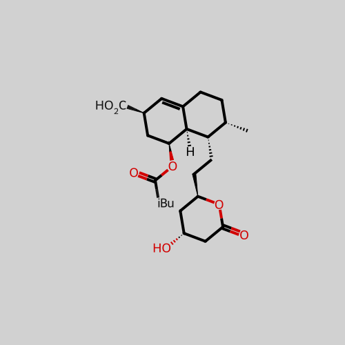 CCC(C)C(=O)O[C@H]1C[C@@H](C(=O)O)C=C2CC[C@H](C)[C@H](CC[C@@H]3C[C@@H](O)CC(=O)O3)[C@H]21